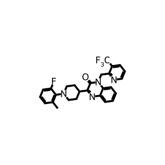 Cc1cccc(F)c1N1CCC(c2nc3ccccc3n(Cc3ncccc3C(F)(F)F)c2=O)CC1